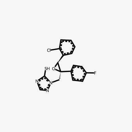 Fc1ccc([C@@]2(Cn3ncnc3S)O[C@H]2c2ccccc2Cl)cc1